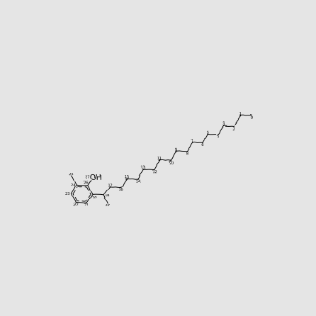 CCCCCCCCCCCCCCCCCCC(C)c1cccc(C)c1O